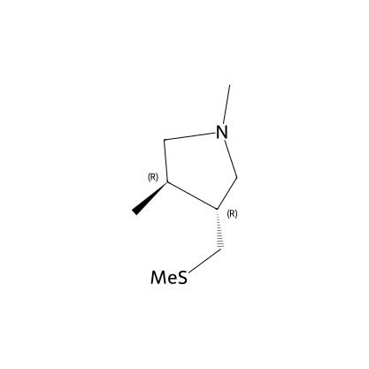 CSC[C@H]1CN(C)C[C@@H]1C